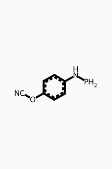 N#COc1ccc(NP)cc1